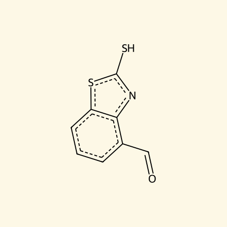 O=Cc1cccc2sc(S)nc12